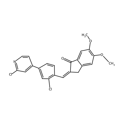 COc1cc2c(cc1OC)C(=O)C(=Cc1ccc(-c3ccnc(Cl)c3)cc1Cl)C2